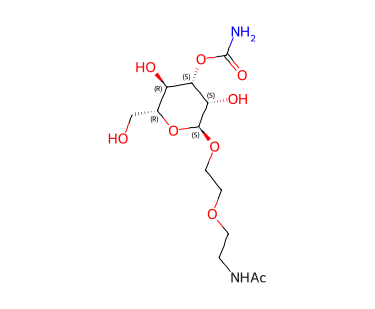 CC(=O)NCCOCCO[C@H]1O[C@H](CO)[C@@H](O)[C@H](OC(N)=O)[C@@H]1O